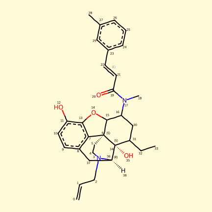 C=CCN1CC[C@]23c4c5ccc(O)c4OC2C(N(C)C(=O)/C=C/c2cccc(C)c2)CC(CC)[C@@]3(O)[C@H]1C5